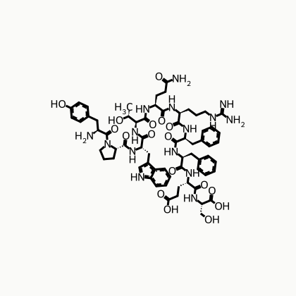 C[C@@H](O)[C@H](NC(=O)[C@H](Cc1c[nH]c2ccccc12)NC(=O)[C@@H]1CCCN1C(=O)[C@@H](N)Cc1ccc(O)cc1)C(=O)N[C@@H](CCC(N)=O)C(=O)N[C@@H](CCCNC(=N)N)C(=O)N[C@@H](Cc1ccccc1)C(=O)N[C@@H](Cc1ccccc1)C(=O)N[C@@H](CCC(=O)O)C(=O)N[C@@H](CO)C(=O)O